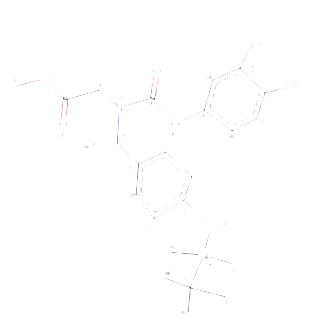 COC(=O)CN(C(=O)Oc1ccc(F)c(C)c1)[C@@H](C)c1ccc(O[Si](C)(C)C(C)(C)C)cc1